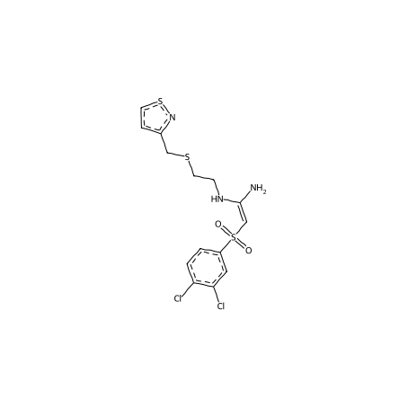 NC(=CS(=O)(=O)c1ccc(Cl)c(Cl)c1)NCCSCc1ccsn1